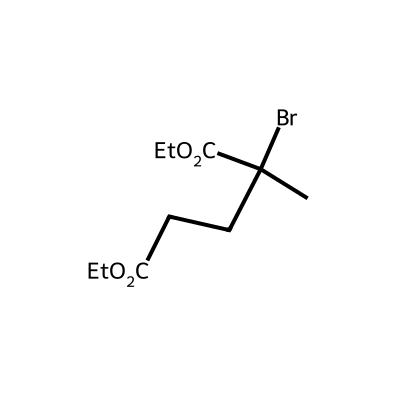 CCOC(=O)CCC(C)(Br)C(=O)OCC